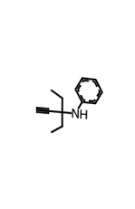 C#CC(CC)(CC)Nc1ccccc1